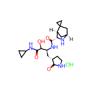 Cl.O=C(NC1CC1)C(O)[C@H](C[C@@H]1CCNC1=O)NC(=O)[C@H]1N[C@H]2C[C@@H]1C1(CC1)C2